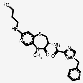 CN1C(=O)[C@@H](NC(=O)c2ncn(Cc3ccccc3)n2)CSc2cc(NCCCO)ncc21